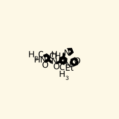 CCN(c1cc(CN2CCCC2)cc(C(=O)NCc2c(C)cc(C)[nH]c2=O)c1C)C1CCOCC1